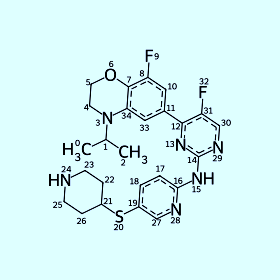 CC(C)N1CCOc2c(F)cc(-c3nc(Nc4ccc(SC5CCNCC5)cn4)ncc3F)cc21